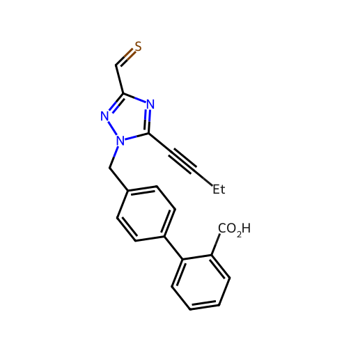 CCC#Cc1nc(C=S)nn1Cc1ccc(-c2ccccc2C(=O)O)cc1